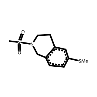 CSc1ccc2c(c1)CCN(S(C)(=O)=O)C2